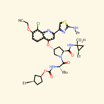 CC[C@@H]1CC[C@H](OC(=O)N[C@H](C(=O)N2C[C@H](Oc3cc(-c4csc(NC(C)C)n4)nc4c(Cl)c(OCC#N)ccc34)C[C@H]2C(=O)N[C@]2(C(=O)O)C[C@H]2CC)C(C)(C)C)C1